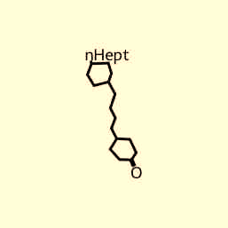 CCCCCCCC1CCC(CCCCC2CCC(=O)CC2)CC1